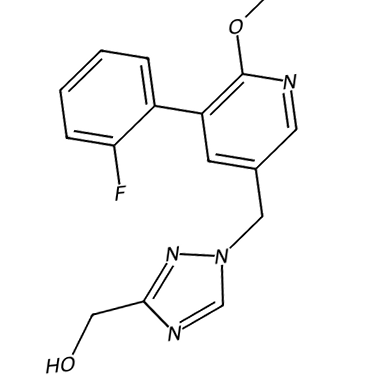 CCOc1ncc(Cn2cnc(CO)n2)cc1-c1ccccc1F